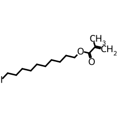 C=C(C)C(=O)OCCCCCCCCCCI